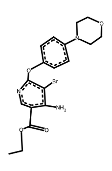 CCOC(=O)c1cnc(Oc2ccc(N3CCOCC3)cc2)c(Br)c1N